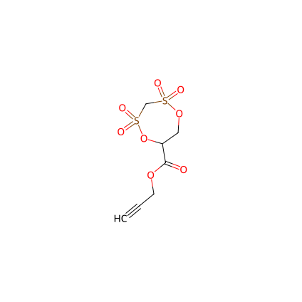 C#CCOC(=O)C1COS(=O)(=O)CS(=O)(=O)O1